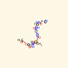 CC(=O)CCCOc1ccc2c(c1)OCC/C2=N\NC(=O)CC(C)(C)SSCCC(=O)N1CCN(C2CCN(C(=O)NCc3ccc(NC(=O)[C@H]4C[C@@H]4c4cccnc4)cc3F)CC2)CC1